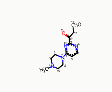 CN1CCN(c2ccnc(C(=O)CC=O)n2)CC1